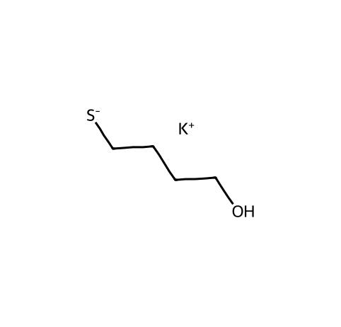 OCCCC[S-].[K+]